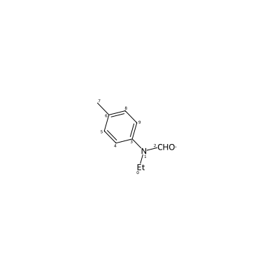 CCN([C]=O)c1ccc(C)cc1